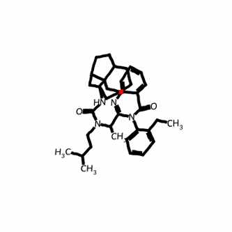 CCc1ccccc1-n1c(C(C)N(CCC(C)C)C(=O)NC23CC4CCC5CCC(C2)C53C4)nc2ccccc2c1=O